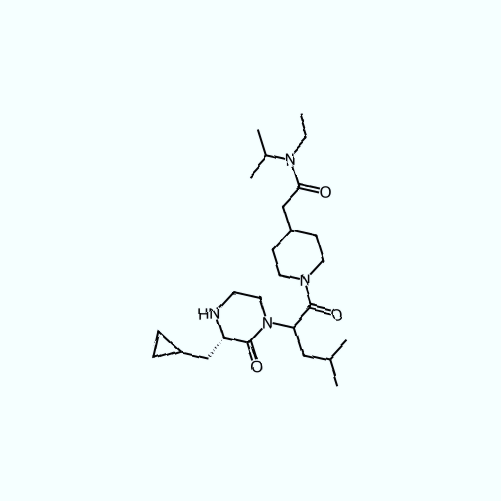 CCN(C(=O)CC1CCN(C(=O)C(CC(C)C)N2CCN[C@@H](CC3CC3)C2=O)CC1)C(C)C